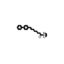 O=C(CCCCCC=Cc1ccc(-c2ccccc2)cc1)c1ncco1